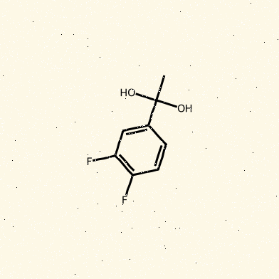 CC(O)(O)c1ccc(F)c(F)c1